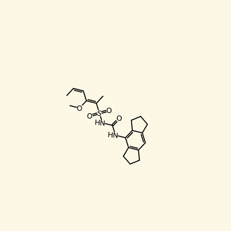 C/C=C\C(OC)=C(/C)S(=O)(=O)NC(=O)Nc1c2c(cc3c1CCC3)CCC2